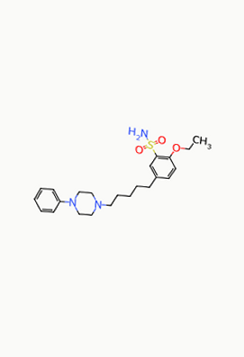 CCOc1ccc(CCCCCN2CCN(c3ccccc3)CC2)cc1S(N)(=O)=O